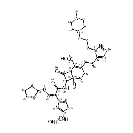 CN1CCN(CCCn2nnnc2SCC2=C(C(=O)O)N3C(=O)C(NC(=O)/C(=N\OC4C=CCC4)c4csc(NC=O)n4)[C@H]3SC2)CC1